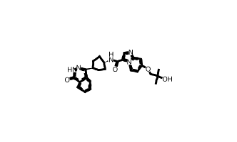 CC(C)(O)COc1ccn2c(C(=O)N[C@H]3CC[C@H](c4n[nH]c(=O)c5ccccc54)CC3)cnc2c1